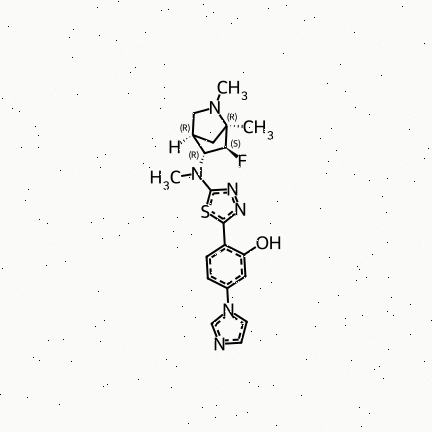 CN(c1nnc(-c2ccc(-n3ccnc3)cc2O)s1)[C@@H]1[C@H]2CN(C)[C@](C)(C2)[C@H]1F